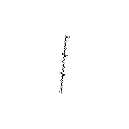 COCCOCCOCCC(=O)NCCOCCOCCC(=O)NCCOCCOCCC(C)=O